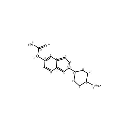 CCCCCCC1CCC(c2ccc3cc(OC(=O)CCC)ccc3c2)CC1